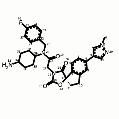 Cn1cc(-c2ccc3c(c2)CC[C@@]32OC(=O)N(CC(=O)N(Cc3ccc(F)cc3)C3CCC(N)CC3)C2=O)cn1